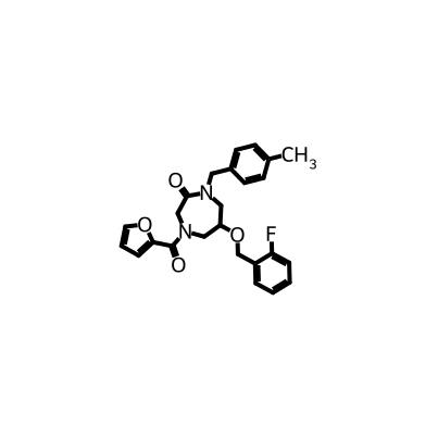 Cc1ccc(CN2CC(OCc3ccccc3F)CN(C(=O)c3ccco3)CC2=O)cc1